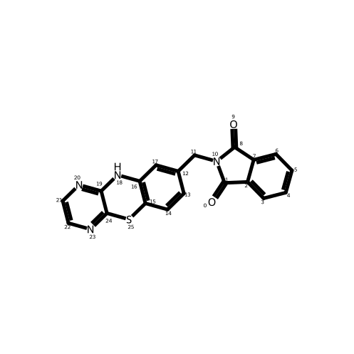 O=C1c2ccccc2C(=O)N1Cc1ccc2c(c1)Nc1nccnc1S2